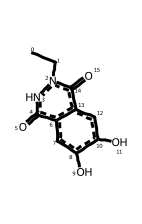 CCn1[nH]c(=O)c2cc(O)c(O)cc2c1=O